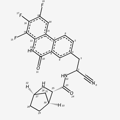 N#CC(Cc1ccc2c(c1)c(=O)[nH]c1c(F)c(F)c(F)cc12)NC(=O)[C@H]1N[C@@H]2CC[C@H]1C2